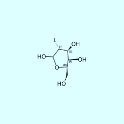 OC[C@H]1OC(O)[C@H](I)[C@@H](O)[C@H]1O